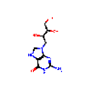 Nc1nc2c(c(=O)[nH]1)NCN2CC(O)C(O)CO